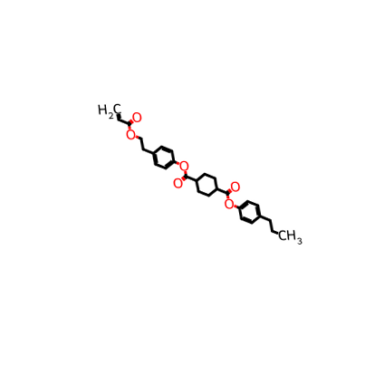 C=CC(=O)OCCc1ccc(OC(=O)C2CCC(C(=O)Oc3ccc(CCC)cc3)CC2)cc1